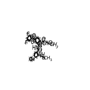 COCCNc1cc(CN2CCCC2)ccc1C(=O)Nc1nn(C(=O)OCCOC)c2ccc(S(=O)(=O)c3cc(F)cc(F)c3)cc12